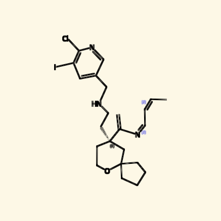 C=C(/N=C\C=C/C)[C@]1(CCNCc2cnc(Cl)c(I)c2)CCOC2(CCCC2)C1